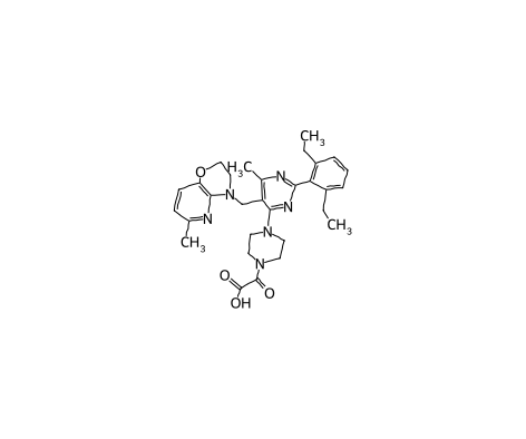 CCc1cccc(CC)c1-c1nc(C)c(CN2CCOc3ccc(C)nc32)c(N2CCN(C(=O)C(=O)O)CC2)n1